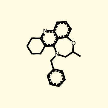 CC1CN(Cc2ccccc2)c2c3c(nc4cccc(c24)O1)CCCC3